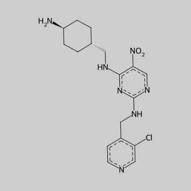 N[C@H]1CC[C@H](CNc2nc(NCc3ccncc3Cl)ncc2[N+](=O)[O-])CC1